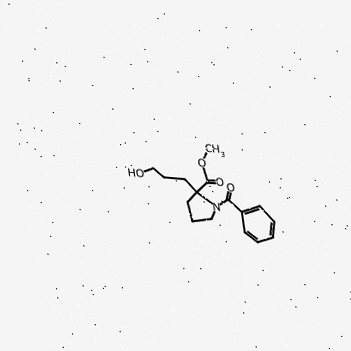 COC(=O)C1(CCCO)CCCN1C(=O)c1ccccc1